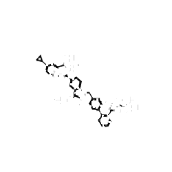 Cc1c(C)n(Cc2ccc(-c3ccccc3C(=O)OC(C)(C)C)cc2)c2ccc(C(=O)NC(C)c3cc(C4CC4)ccn3)cc12